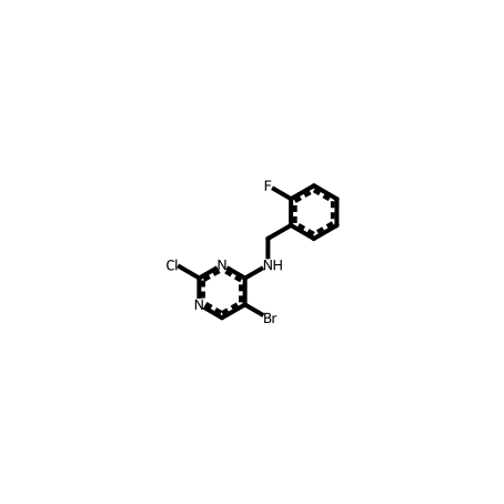 Fc1ccccc1CNc1nc(Cl)ncc1Br